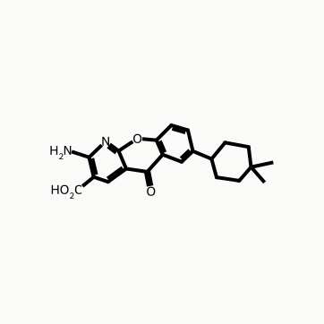 CC1(C)CCC(c2ccc3oc4nc(N)c(C(=O)O)cc4c(=O)c3c2)CC1